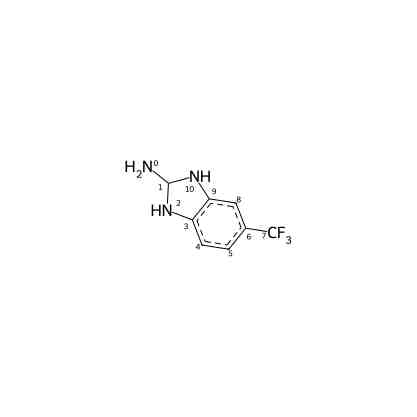 NC1Nc2ccc(C(F)(F)F)cc2N1